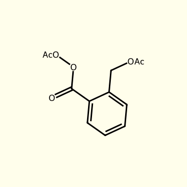 CC(=O)OCc1ccccc1C(=O)OOC(C)=O